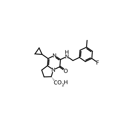 Cc1cc(F)cc(CNc2nc(C3CC3)c3n(c2=O)[C@H](C(=O)O)CC3)c1